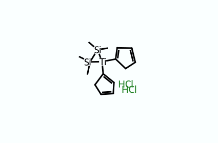 C[Si]1(C)[Si](C)(C)[Ti]1([C]1=CC=CC1)[C]1=CC=CC1.Cl.Cl